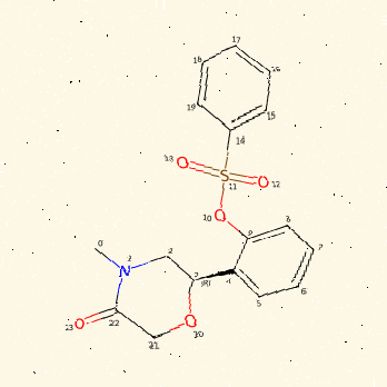 CN1C[C@@H](c2ccccc2OS(=O)(=O)c2ccccc2)OCC1=O